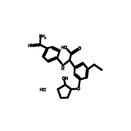 CCc1cc(OC2CCCC2O)cc(C(Nc2ccc(C(=N)N)cc2)C(=O)O)c1.Cl